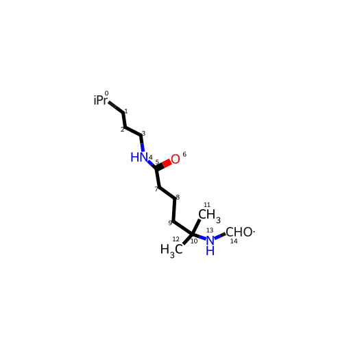 CC(C)CCCNC(=O)CCCC(C)(C)N[C]=O